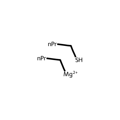 CCCCS.CCC[CH2][Mg+2]